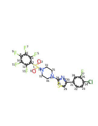 O=S(=O)(c1c(F)c(F)c(F)c(F)c1F)N1CCN(c2nc(-c3ccc(Cl)c(F)c3)cs2)CC1